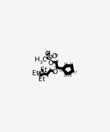 CC[N+](CC)(CC)CCOC(COS(C)(=O)=O)c1ccccc1